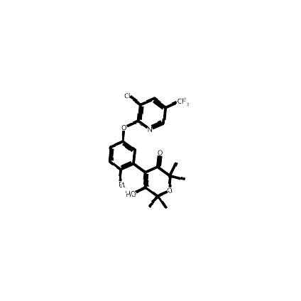 CCc1ccc(Oc2ncc(C(F)(F)F)cc2Cl)cc1C1=C(O)C(C)(C)OC(C)(C)C1=O